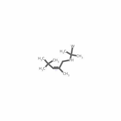 C/C(=C/C(C)(C)C)CP[C](C)(C)[W]